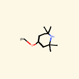 CCC(C)OC1CC(C)(C)NC(C)(C)C1